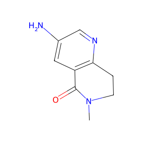 CN1CCc2ncc(N)cc2C1=O